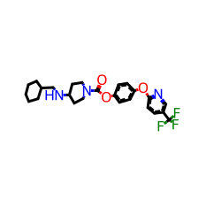 O=C(Oc1ccc(Oc2ccc(C(F)(F)F)cn2)cc1)N1CCC(NCC2CCCCC2)CC1